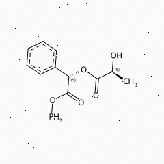 C[C@H](O)C(=O)O[C@H](C(=O)OP)c1ccccc1